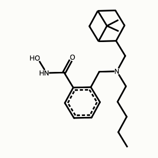 CCCCCN(Cc1ccccc1C(=O)NO)CC1CCC2CC1C2(C)C